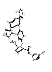 CCCCc1ncc(C(=O)Nc2nc(C)cs2)n1Cc1ccc(-c2cc(-c3ccccc3)ccc2-c2nn[nH]n2)cc1